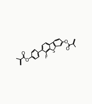 C=C(C)C(=O)Oc1ccc(-c2ccc3c(sc4cc(OC(=O)C(=C)C)ccc43)c2F)cc1